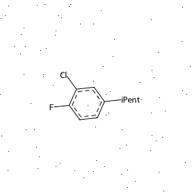 CCC[C](C)c1ccc(F)c(Cl)c1